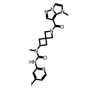 CN(C(=O)Nc1cc(I)ccn1)C1CC2(C1)CN(C(=O)c1cnn3ccn(C)c13)C2